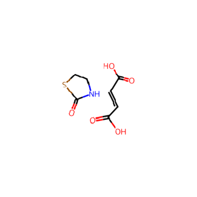 O=C(O)C=CC(=O)O.O=C1NCCS1